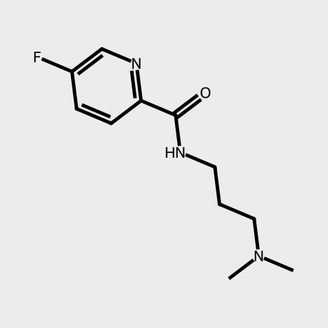 CN(C)CCCNC(=O)c1ccc(F)cn1